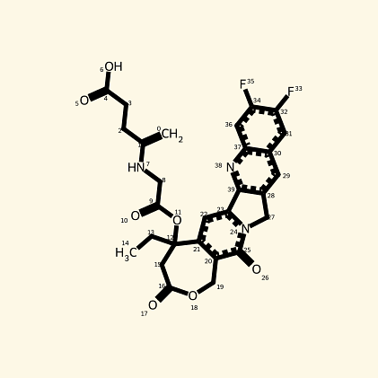 C=C(CCC(=O)O)NCC(=O)OC1(CC)CC(=O)OCc2c1cc1n(c2=O)Cc2cc3cc(F)c(F)cc3nc2-1